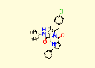 CCCC(CCC)NC(=O)C1(C)Cn2c(ccc2-c2ccccc2)C(=O)N1CCc1ccc(Cl)cc1